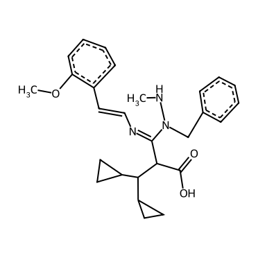 CNN(Cc1ccccc1)/C(=N\C=C\c1ccccc1OC)C(C(=O)O)C(C1CC1)C1CC1